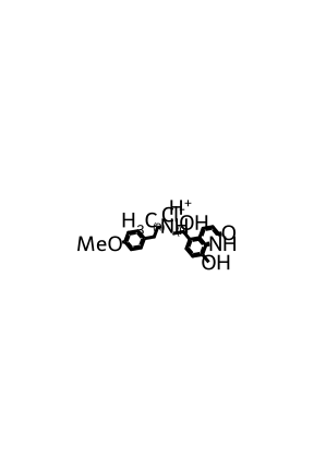 COc1ccc(C[C@@H](C)NC[C@H](O)c2ccc(O)c3[nH]c(=O)ccc23)cc1.[Cl-].[H+]